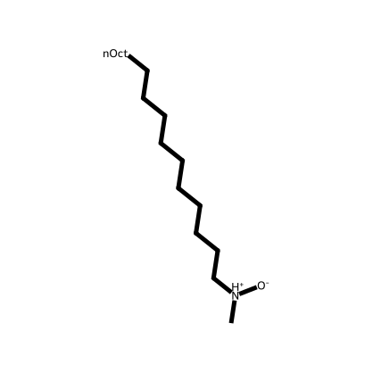 CCCCCCCCCCCCCCCCCC[NH+](C)[O-]